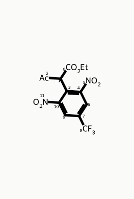 CCOC(=O)C(C(C)=O)c1c([N+](=O)[O-])cc(C(F)(F)F)cc1[N+](=O)[O-]